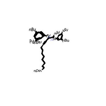 CCCCCCCCCCCCCCCCCCC#CC(=N\c1cc(CCCC)cc(CCCC)c1)/C(CCCC)=N/c1cc(CCCC)cc(CCCC)c1.[Pd]